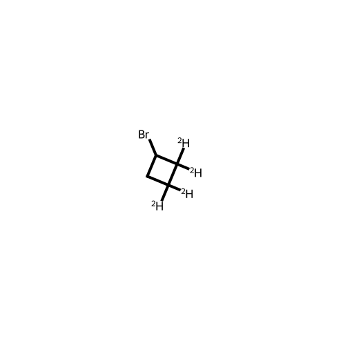 [2H]C1([2H])CC(Br)C1([2H])[2H]